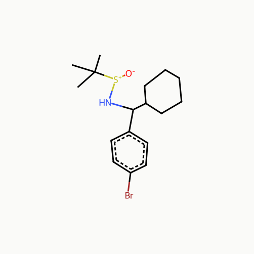 CC(C)(C)[S+]([O-])NC(c1ccc(Br)cc1)C1CCCCC1